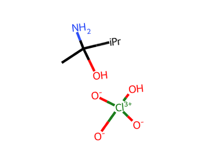 CC(C)C(C)(N)O.[O-][Cl+3]([O-])([O-])O